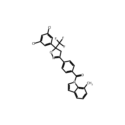 Cc1cccc2ccn(C(=O)c3ccc(C4=NOC(c5cc(Cl)cc(Cl)c5)(C(F)(F)F)C4)cc3)c12